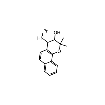 CC(C)NC1c2ccc3ccccc3c2OC(C)(C)C1O